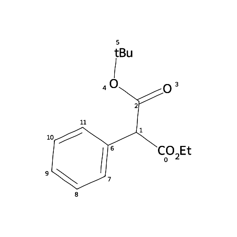 CCOC(=O)C(C(=O)OC(C)(C)C)c1ccccc1